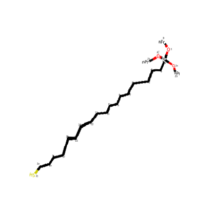 CCCO[Si](CCCCCCCCCCCCCCCCCCS)(OCCC)OCCC